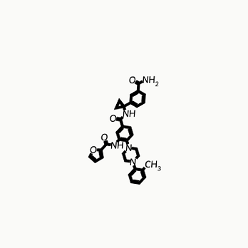 Cc1ccccc1N1CCN(c2ccc(C(=O)NC3(c4cccc(C(N)=O)c4)CC3)cc2NC(=O)c2ccco2)CC1